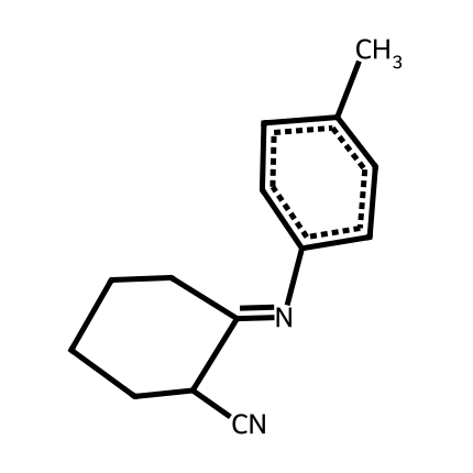 Cc1ccc(N=C2CCCCC2C#N)cc1